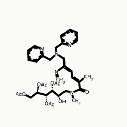 C=N/C(=C\C=C(/C)C(=O)N(C)C[C@H](O)[C@@H](OC(C)=O)[C@H](OC(C)=O)[C@@H](COC(C)=O)OC(C)=O)CN(Cc1ccccn1)Cc1ccccn1